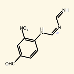 N=C/N=C\Nc1ccc(C=O)cc1[N+](=O)[O-]